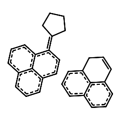 C1=Cc2cccc3cccc(c23)C1.c1cc2cccc3c(=C4CCCC4)ccc(c1)c23